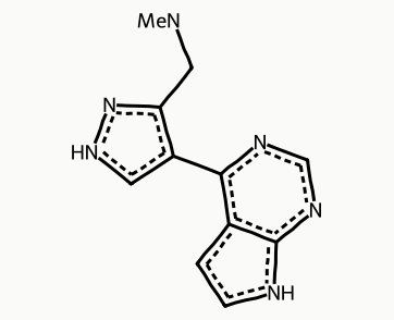 CNCc1n[nH]cc1-c1ncnc2[nH]ccc12